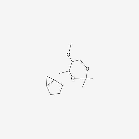 C1CC2CC2C1.COC1COC(C)(C)OC1C